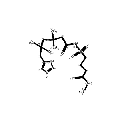 CNC(=O)CCCS(=O)(=O)NC(=O)CC(C)(C)CC(C)(C)Cc1nnn[nH]1